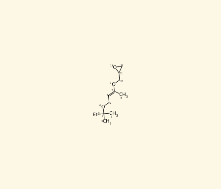 CCC(C)(C)OC/C=C(\C)OCC1CO1